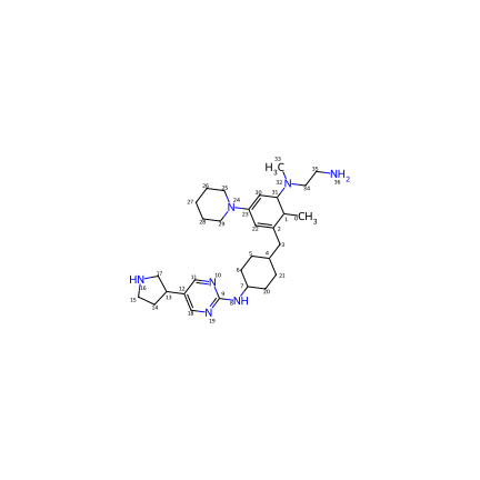 CC1C(CC2CCC(Nc3ncc(C4CCNC4)cn3)CC2)=CC(N2CCCCC2)=CC1N(C)CCN